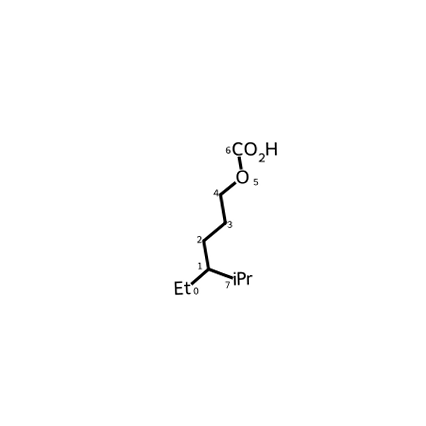 CCC(CCCOC(=O)O)C(C)C